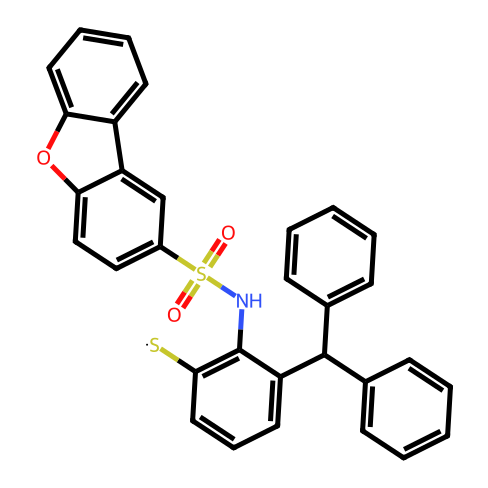 O=S(=O)(Nc1c([S])cccc1C(c1ccccc1)c1ccccc1)c1ccc2oc3ccccc3c2c1